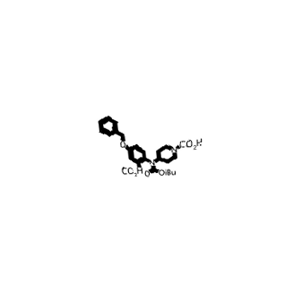 CC(C)COC(=O)N(c1ccc(OCc2ccccc2)cc1C(=O)O)C1CCN(C(=O)O)CC1